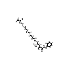 C=C(C)C(=O)OCCOCCOCCOCCOCC(CC(=C)C(=O)OCc1ccccc1)OC